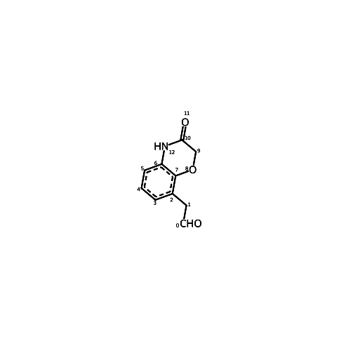 O=CCc1cccc2c1OCC(=O)N2